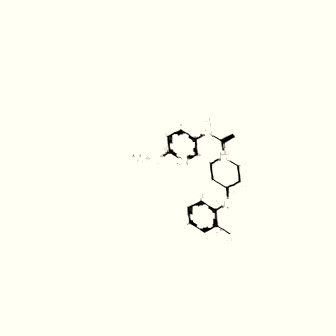 C=C(Nc1ccc(OC)nc1)N1CCC(Oc2ccccc2C)CC1